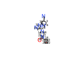 N#Cc1ccc(CC(c2cnc[nH]2)N2CCN(C(=O)C3CC4CCC3CC4)CC2)cc1